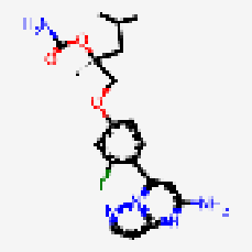 CC(C)C[C@@](C)(COc1ccc(-c2cc(N)nc3ccnn23)c(F)c1)OC(N)=O